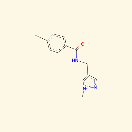 Cc1ccc(C(=O)NCc2cnn(C)c2)cc1